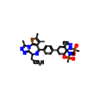 Cc1sc2c(c1C)C(c1ccc(C3C=CC(NS(C)(=O)=O)(NS(C)(=O)=O)C(C#N)=C3)cc1)=NC(CC(=O)O)c1nnc(C)n1-2